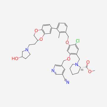 COC(=O)[C@@H]1CCCCN1Cc1cc(Cl)c(OCc2cccc(-c3ccc4c(c3)OC(CCN3CCC(O)C3)CO4)c2C)cc1OCc1cncc(C#N)c1